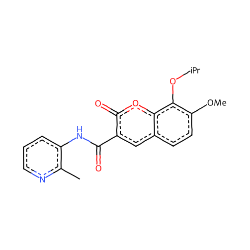 COc1ccc2cc(C(=O)Nc3cccnc3C)c(=O)oc2c1OC(C)C